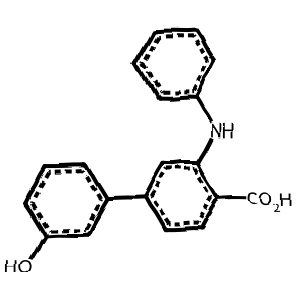 O=C(O)c1ccc(-c2cccc(O)c2)cc1Nc1ccccc1